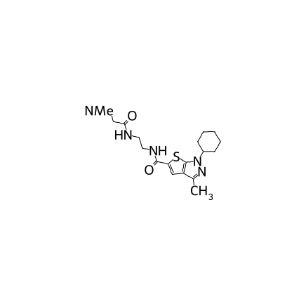 CNCC(=O)NCCNC(=O)c1cc2c(C)nn(C3CCCCC3)c2s1